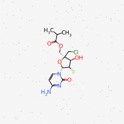 CC(C)C(=O)OC[C@@]1(CCl)O[C@@H](n2ccc(N)nc2=O)C(F)[C@@H]1O